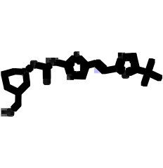 CC(C)(C)c1cnc(/C=C/c2cnc(NC(=O)ON3CCCC(CO)C3)s2)o1